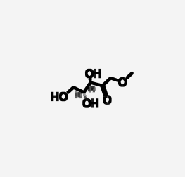 COCC(=O)[C@H](O)[C@H](O)CO